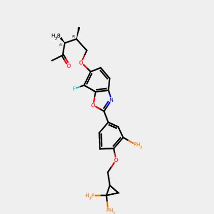 B[C@H](C(C)=O)[C@@H](C)COc1ccc2nc(-c3ccc(OCC4CC4(P)P)c(P)c3)oc2c1F